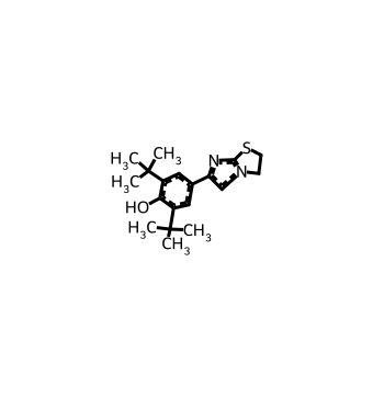 CC(C)(C)c1cc(-c2cn3c(n2)SCC3)cc(C(C)(C)C)c1O